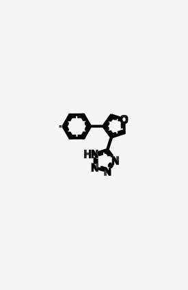 [c]1ccc(-c2cocc2-c2nnn[nH]2)cc1